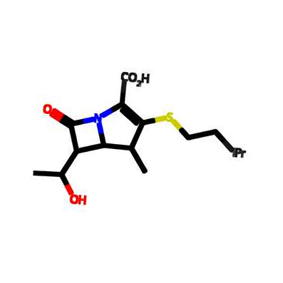 CC(C)CCSC1=C(C(=O)O)N2C(=O)C(C(C)O)C2C1C